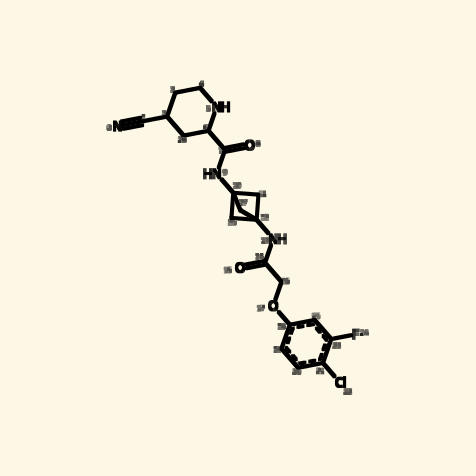 N#CC1CCNC(C(=O)NC23CC(NC(=O)COc4ccc(Cl)c(F)c4)(C2)C3)C1